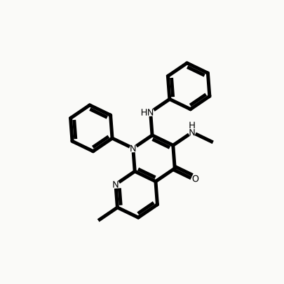 CNc1c(Nc2ccccc2)n(-c2ccccc2)c2nc(C)ccc2c1=O